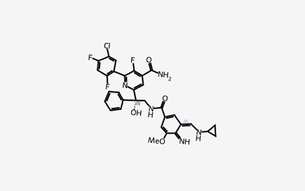 COC1=CC(C(=O)NC[C@@](O)(c2ccccc2)c2cc(C(N)=O)c(F)c(-c3cc(Cl)c(F)cc3F)n2)=C/C(=C/NC2CC2)C1=N